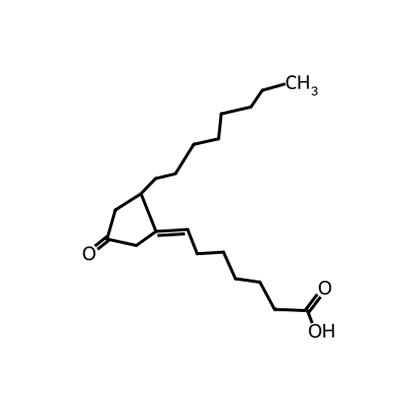 CCCCCCCCC1CC(=O)CC1=CCCCCCC(=O)O